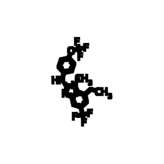 CCc1cc(C(F)(F)F)cc2nc(Nc3ccc(OC(F)(F)F)cc3)n(C)c12